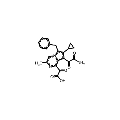 Cc1cn2c(Cc3ccccc3)c(C3CC3)c(C(=O)C(N)=O)c2c(C(=O)C(=O)O)n1